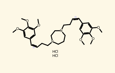 COc1cc(/C=C\CCN2CCCN(CC/C=C\c3cc(OC)c(OC)c(OC)c3)CC2)cc(OC)c1OC.Cl.Cl